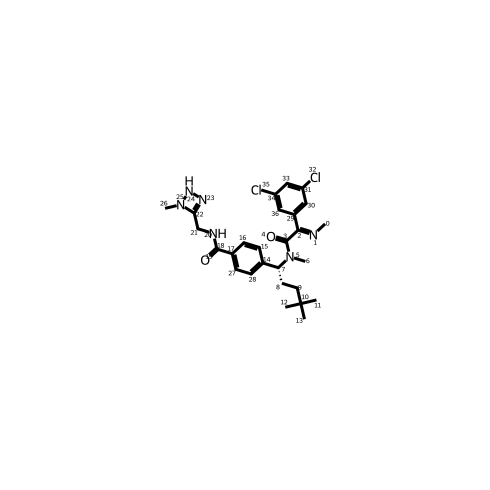 CN=C(C(=O)N(C)[C@H](CCC(C)(C)C)c1ccc(C(=O)NCc2n[nH]n2C)cc1)c1cc(Cl)cc(Cl)c1